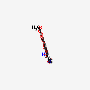 CC(=O)CCOCCOCCOCCOCCOCCOCCOCCOCCNCC(C=O)CCCCN1C(=O)C=CC1=O